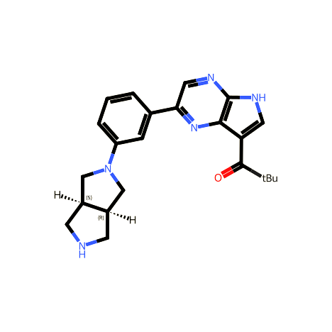 CC(C)(C)C(=O)c1c[nH]c2ncc(-c3cccc(N4C[C@H]5CNC[C@H]5C4)c3)nc12